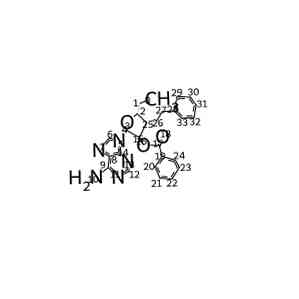 CC[C@H]1O[C@@H](n2cnc3c(N)ncnc32)C(OC(=O)c2ccccc2)[C@H]1CCc1ccccc1